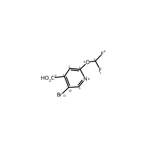 O=C(O)c1cc(OC(F)F)ncc1Br